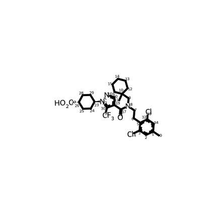 Cc1cc(Cl)c(CCN(CC2(C)CCCCC2)C(=O)c2cnn([C@H]3CC[C@H](C(=O)O)CC3)c2C(F)(F)F)c(Cl)c1